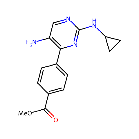 COC(=O)c1ccc(-c2nc(NC3CC3)ncc2N)cc1